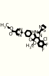 CCOC(=O)c1cnc([C@H]2CC[C@@H](C3=C(C(=O)OC)C(c4ccc(F)c(F)c4Cl)N=C(c4nccs4)N3)CC2)nc1